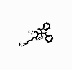 CCCCCCC(CC)C(OC)(C(=O)c1ccccc1)C(=O)c1ccccc1